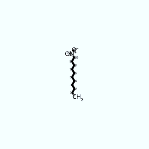 CCCC[CH]CCCCCC[N+](=O)[O-]